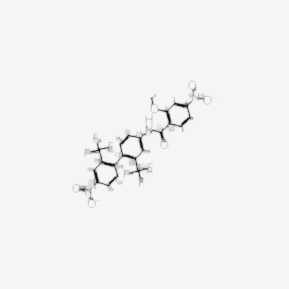 COc1cc([N+](=O)[O-])ccc1C(=O)Nc1ccc(-c2ccc([N+](=O)[O-])cc2C(F)(F)F)c(C(F)(F)F)c1